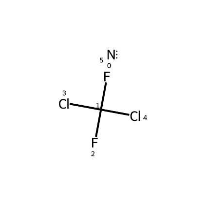 FC(F)(Cl)Cl.[N]